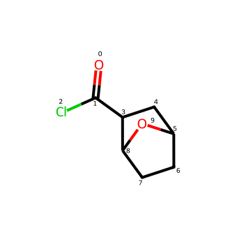 O=C(Cl)C1CC2CCC1O2